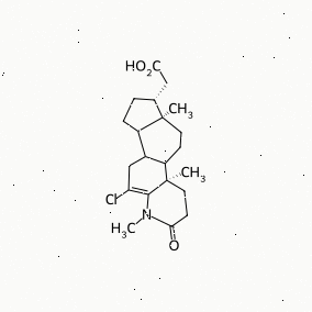 CN1C(=O)CC[C@@]2(C)C1=C(Cl)CC1C2CC[C@@]2(C)C1CC[C@@H]2CC(=O)O